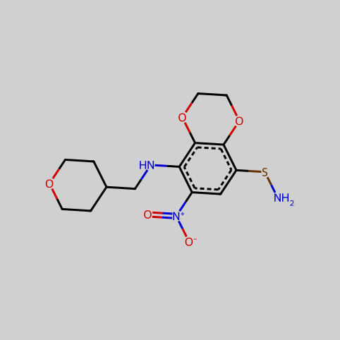 NSc1cc([N+](=O)[O-])c(NCC2CCOCC2)c2c1OCCO2